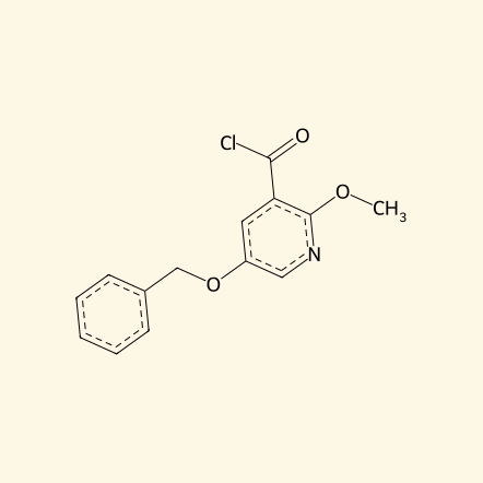 COc1ncc(OCc2ccccc2)cc1C(=O)Cl